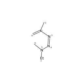 C=C(C)/N=N\N(C)CC